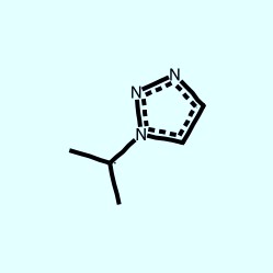 C[C](C)n1ccnn1